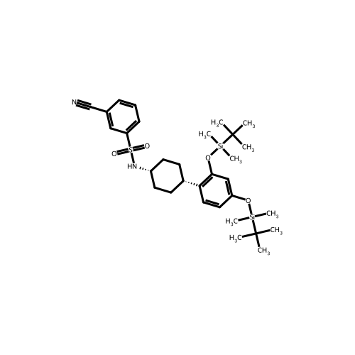 CC(C)(C)[Si](C)(C)Oc1ccc([C@H]2CC[C@@H](NS(=O)(=O)c3cccc(C#N)c3)CC2)c(O[Si](C)(C)C(C)(C)C)c1